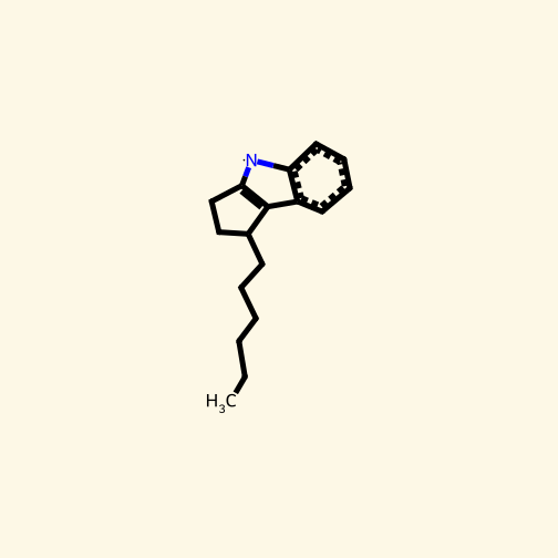 CCCCCCC1CCC2=C1c1ccccc1[N]2